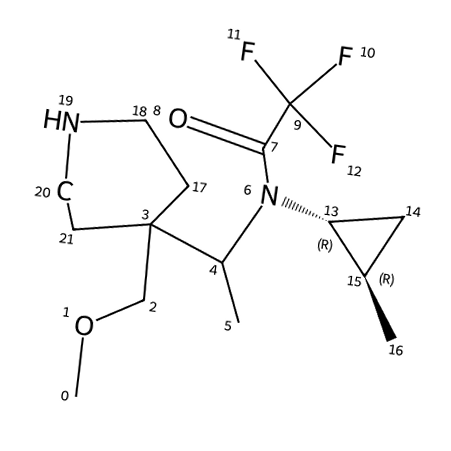 COCC1(C(C)N(C(=O)C(F)(F)F)[C@@H]2C[C@H]2C)CCNCC1